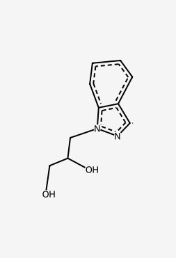 OCC(O)Cn1n[c]c2ccccc21